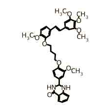 COc1cc(C2NC(=O)c3ccccc3N2)ccc1OCCCCOc1cc(C=Cc2cc(OC)c(OC)c(OC)c2)ccc1OC